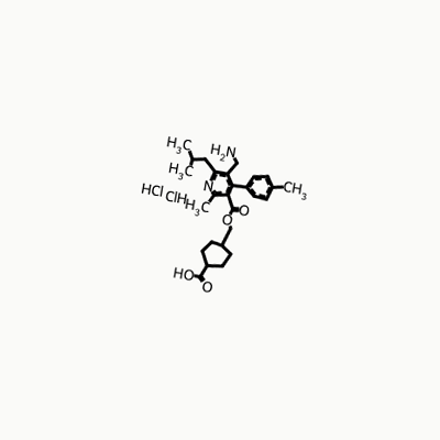 Cc1ccc(-c2c(CN)c(CC(C)C)nc(C)c2C(=O)OCC2CCC(C(=O)O)CC2)cc1.Cl.Cl